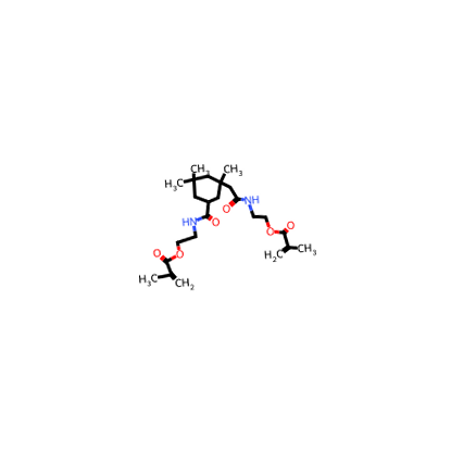 C=C(C)C(=O)OCCNC(=O)CC1(C)CC(C(=O)NCCOC(=O)C(=C)C)CC(C)(C)C1